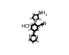 Cl.N#Cc1cc(-c2ncccn2)ccc1N1CCC(N)C1